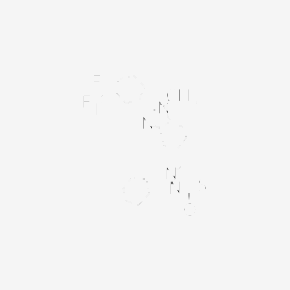 Cn1c(-c2cccc(C(F)(F)F)c2)nc2cc(C3=NN(Cc4ccccc4)C(=O)SC3)ccc21